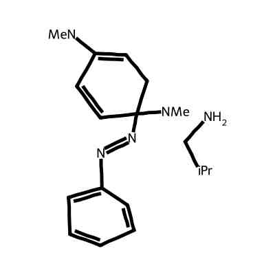 CC(C)CN.CNC1=CCC(N=Nc2ccccc2)(NC)C=C1